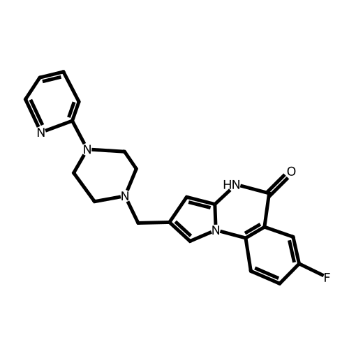 O=c1[nH]c2cc(CN3CCN(c4ccccn4)CC3)cn2c2ccc(F)cc12